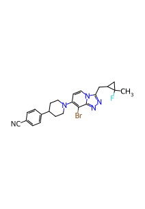 CC1(F)CC1Cc1nnc2c(Br)c(N3CCC(c4ccc(C#N)cc4)CC3)ccn12